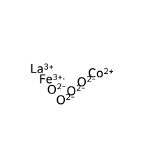 [Co+2].[Fe+3].[La+3].[O-2].[O-2].[O-2].[O-2]